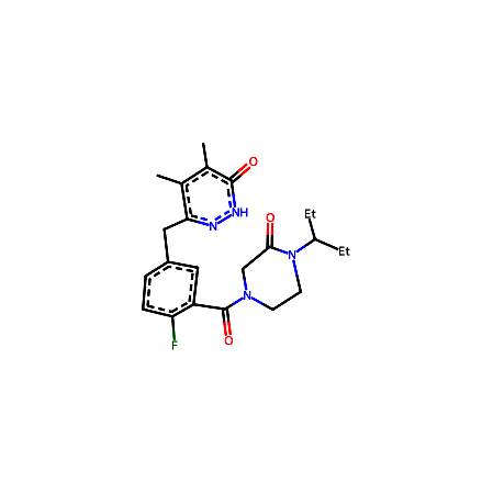 CCC(CC)N1CCN(C(=O)c2cc(Cc3n[nH]c(=O)c(C)c3C)ccc2F)CC1=O